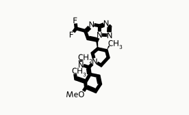 C=N/C(=c1/cccc(OC)/c1=C/C)N1CC[C@@H](C)[C@H](c2cc(C(F)F)nc3ncnn23)C1